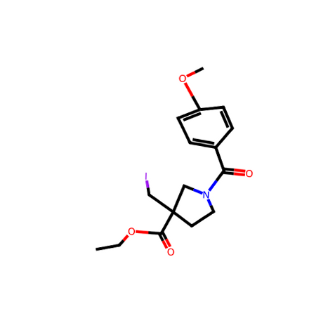 CCOC(=O)C1(CI)CCN(C(=O)c2ccc(OC)cc2)C1